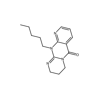 CCCCCN1C2=NCCCN2C(=O)c2cccnc21